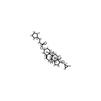 C[C@]12CCC(OC(=O)CCC3CCCC3)CC1=CC[C@@H]1[C@H]2CC[C@]2(C)C(OC3CC3)CC[C@@H]12